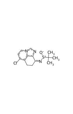 CC(C)(C)[S+]([O-])/N=C1/CCc2c(Cl)ccn3cnc1c23